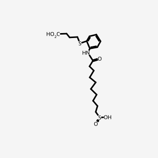 O=C(O)CCCSc1ccccc1NC(=O)CCCCCCCCCS(=O)O